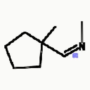 C/N=C\C1(C)CCCC1